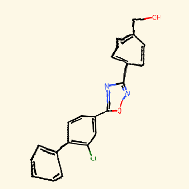 OCc1ccc(-c2noc(-c3ccc(-c4ccccc4)c(Cl)c3)n2)cc1